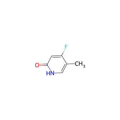 Cc1c[nH]c(=O)cc1F